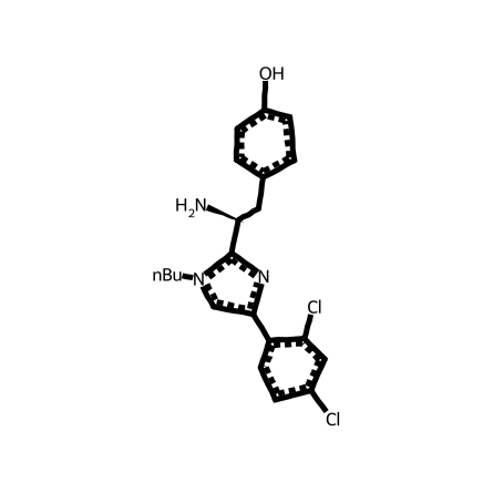 CCCCn1cc(-c2ccc(Cl)cc2Cl)nc1[C@@H](N)Cc1ccc(O)cc1